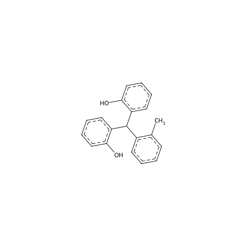 Cc1ccccc1C(c1ccccc1O)c1ccccc1O